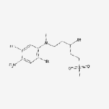 CCc1cc([N+](=O)[O-])c(O)cc1N(C)CCC(CC)CCS(C)(=O)=O